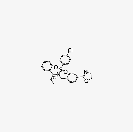 CC[C@@H](c1ccccc1)N(Cc1ccc(C2=NCCO2)cc1)S(=O)(=O)c1ccc(Cl)cc1